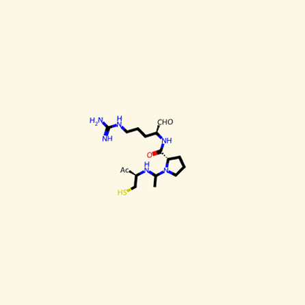 CC(=O)[C@H](CS)NC(C)N1CCC[C@H]1C(=O)N[C@H](C=O)CCCNC(=N)N